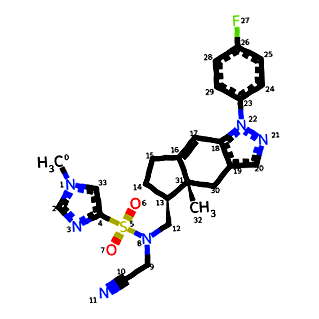 Cn1cnc(S(=O)(=O)N(CC#N)C[C@H]2CCC3=Cc4c(cnn4-c4ccc(F)cc4)C[C@@]32C)c1